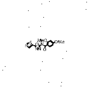 COc1ccc(C(=O)Nc2nnc(-c3cncs3)o2)c(OC)c1